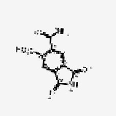 NC(=O)c1cc2c(cc1C(=O)O)C(=O)NC2=O